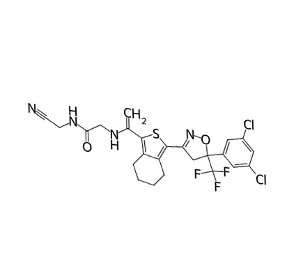 C=C(NCC(=O)NCC#N)c1sc(C2=NOC(c3cc(Cl)cc(Cl)c3)(C(F)(F)F)C2)c2c1CCCC2